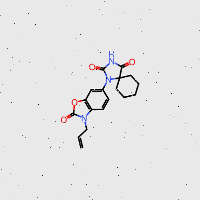 C=CCn1c(=O)oc2cc(N3C(=O)NC(=O)C34CCCCC4)ccc21